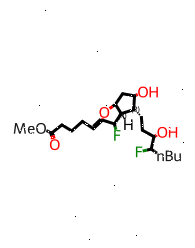 CCCCC(F)C(O)CC[C@H]1C(O)CC2OC(=CCCCC(=O)OC)C(F)[C@@H]21